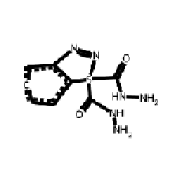 NNC(=O)S1(C(=O)NN)N=Nc2ccccc21